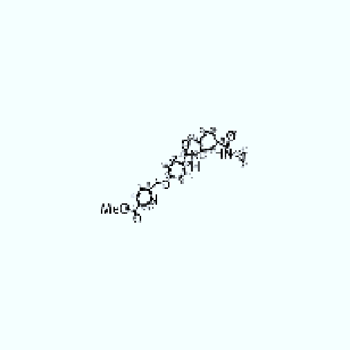 COC(=O)c1ccc(COc2ccc(C(=O)Nc3cc(C(=O)NC4CC4)ccc3C)cc2)nc1